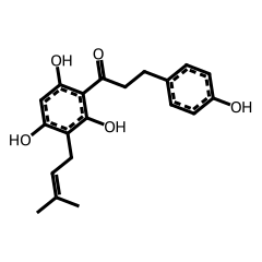 CC(C)=CCc1c(O)cc(O)c(C(=O)CCc2ccc(O)cc2)c1O